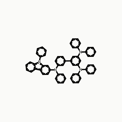 c1ccc(N(c2ccccc2)c2cc(-c3cccc(N(c4ccccc4)c4ccc5c6ccccc6n(-c6ccccc6)c5c4)c3)cc(N(c3ccccc3)c3ccccc3)c2)cc1